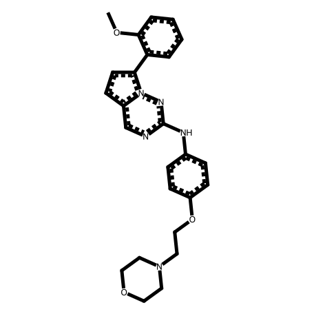 COc1ccccc1-c1ccc2cnc(Nc3ccc(OCCN4CCOCC4)cc3)nn12